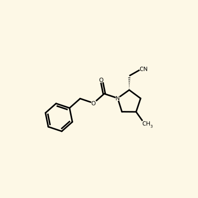 CC1C[C@@H](CC#N)N(C(=O)OCc2ccccc2)C1